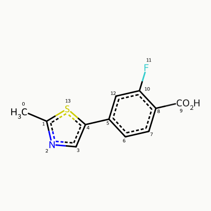 Cc1ncc(-c2ccc(C(=O)O)c(F)c2)s1